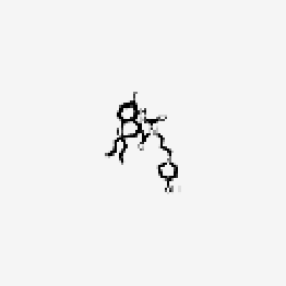 CCCC1(CCC)CC2(NC(=O)N(CCCN3CCC(O)CC3)C2=O)c2cc(F)ccc2O1